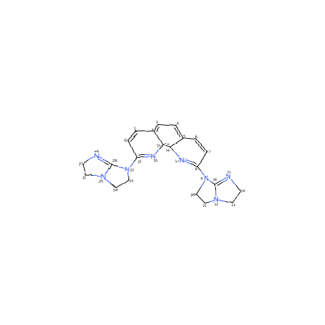 c1cc2ccc3ccc(N4CCN5CCN=C54)nc3c2nc1N1CCN2CCN=C21